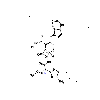 CO/N=C(\C(=O)N[C@@H]1C(=O)N2C(C(=O)O)=C(CN3C=CN4NC=CC=C34)CS[C@@H]12)c1nsc(N)n1.Cl